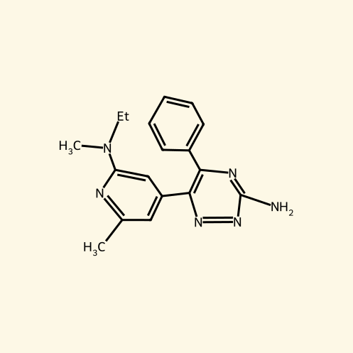 CCN(C)c1cc(-c2nnc(N)nc2-c2ccccc2)cc(C)n1